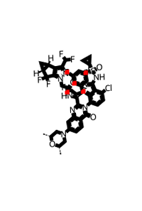 C[C@@H]1CN(c2ccc3c(=O)n(-c4ccc(Cl)c5c(NS(=O)(=O)C6CC6)nn(CC(F)(F)F)c45)c([C@H](Cc4cc(F)cc(F)c4)NC(=O)Cn4nc(C(F)F)c5c4C(F)(F)[C@@H]4C[C@H]54)nc3c2)C[C@H](C)O1